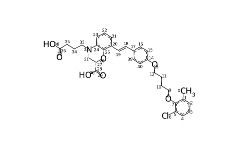 Cc1cccc(Cl)c1OCCCCOc1ccc(C=Cc2cccc3c2OC(C(=O)O)CN3CCCC(=O)O)cc1